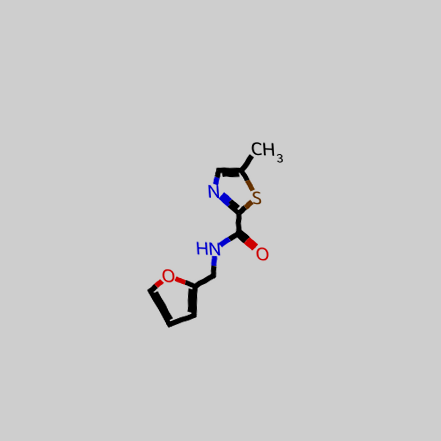 Cc1cnc(C(=O)NCc2ccco2)s1